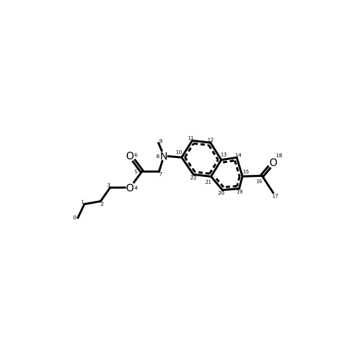 CCCCOC(=O)CN(C)c1ccc2cc(C(C)=O)ccc2c1